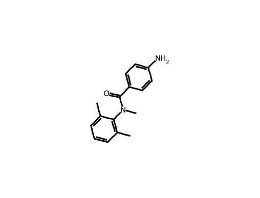 Cc1cccc(C)c1N(C)C(=O)c1ccc(N)cc1